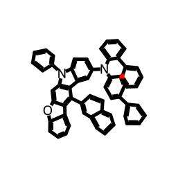 c1ccc(-c2ccc(N(c3ccc4c(c3)c3c(-c5ccc6ccccc6c5)c5c(cc3n4-c3ccccc3)oc3ccccc35)c3ccccc3-c3ccccc3)cc2)cc1